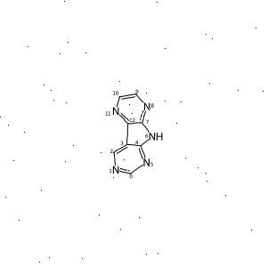 c1ncc2c(n1)[nH]c1nccnc12